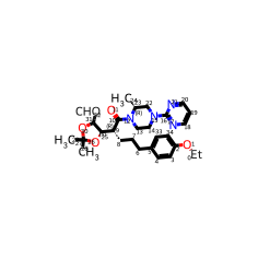 CCOc1ccc(CCC[C@@H](C(=O)N2CCN(c3ncccn3)C[C@H]2C)[C@@H]2OC(C)(C)OC2C=O)cc1